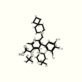 Cc1nc(CN2CCC3(CCC3)CC2)c(-c2cc(F)c(F)c(F)c2)c(N2CCC(C)(C)CC2)c1[C@H](OC(C)(C)C)C(=O)O